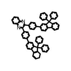 C1=CC2=C(CC1)C(c1ccccc1)(c1ccccc1)c1cc(-c3ccc(-c4nc5ccccc5nc4-c4ccc(-c5ccc6c(c5)C(c5ccccc5)(c5ccccc5)c5ccccc5-6)cc4)cc3)ccc12